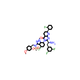 COc1ccc(CN(c2nn(C)c3c(-n4c(C(N)Cc5cc(F)cc(F)c5)nc5nc(-c6ccccc6F)ccc5c4=O)ccc(Cl)c23)S(C)(=O)=O)cc1